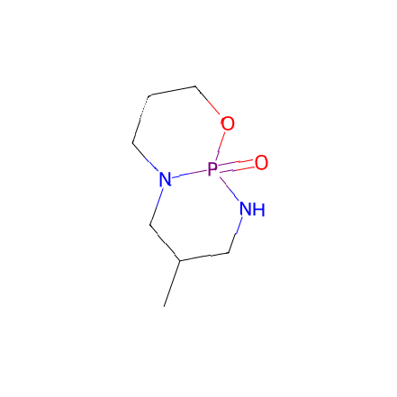 CC1CNP2(=O)OCCCN2C1